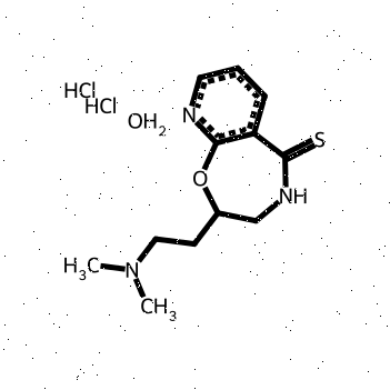 CN(C)CCC1CNC(=S)c2cccnc2O1.Cl.Cl.O